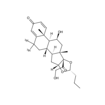 [2H]C1([2H])C[C@@H]2[C@H]([C@@H](O)C[C@@]3(C)[C@H]2C[C@H]2O[C@@H](CCC)O[C@]23C(=O)CO)[C@@]2(C)C=CC(=O)C=C12